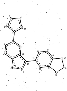 c1n[nH]c(-c2ccc3[nH]nc(-c4ccc5c(c4)OCO5)c3c2)n1